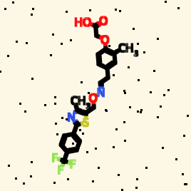 Cc1cc(CC=NOCc2sc(-c3ccc(C(F)(F)F)cc3)nc2C)ccc1OCC(=O)O